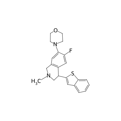 CN1Cc2cc(N3CCOCC3)c(F)cc2C(c2cc3ccccc3s2)C1